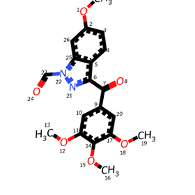 COc1ccc2c(C(=O)c3cc(OC)c(OC)c(OC)c3)nn(C=O)c2c1